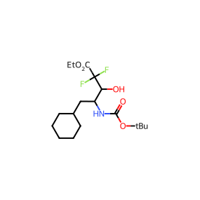 CCOC(=O)C(F)(F)C(O)C(CC1CCCCC1)NC(=O)OC(C)(C)C